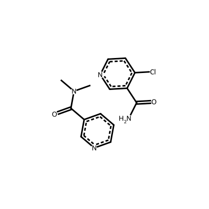 CN(C)C(=O)c1cccnc1.NC(=O)c1cnccc1Cl